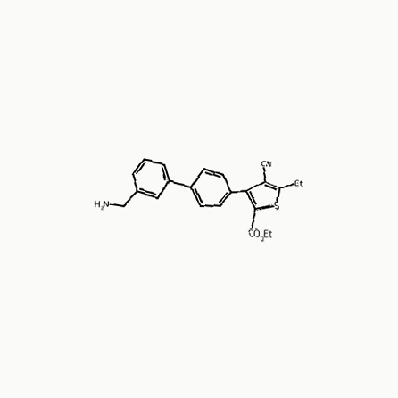 CCOC(=O)c1sc(CC)c(C#N)c1-c1ccc(-c2cccc(CN)c2)cc1